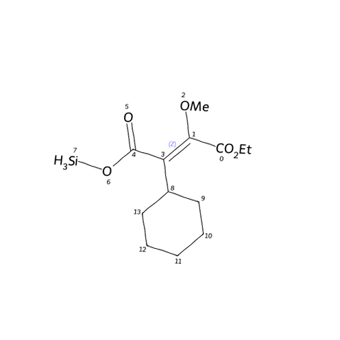 CCOC(=O)/C(OC)=C(/C(=O)O[SiH3])C1CCCCC1